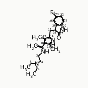 C=C(NCCN(CC)CC)c1c(C)[nH]c(CC2C(=O)Nc3ccc(F)cc32)c1C